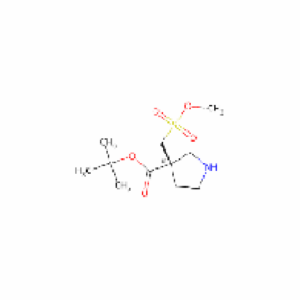 COS(=O)(=O)C[C@]1(C(=O)OC(C)(C)C)CCNC1